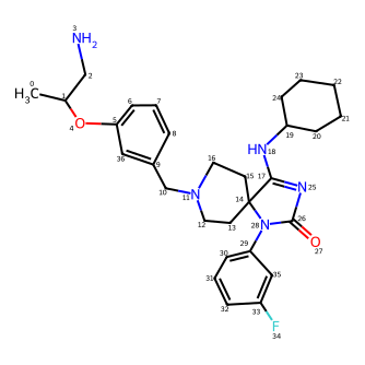 CC(CN)Oc1cccc(CN2CCC3(CC2)C(NC2CCCCC2)=NC(=O)N3c2cccc(F)c2)c1